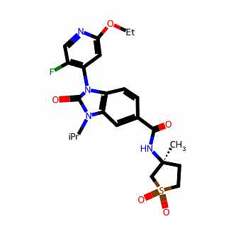 CCOc1cc(-n2c(=O)n(C(C)C)c3cc(C(=O)N[C@@]4(C)CCS(=O)(=O)C4)ccc32)c(F)cn1